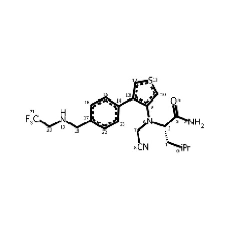 CC(C)C[C@@H](C(N)=O)N(CC#N)c1cscc1-c1ccc(CNCC(F)(F)F)cc1